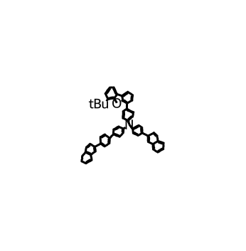 CC(C)(C)c1cccc2c1oc1c(-c3ccc(N(c4ccc(-c5ccc(-c6ccc7c(c6)C=CCC7)cc5)cc4)c4ccc(-c5ccc6ccccc6c5)cc4)cc3)cccc12